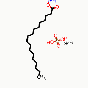 CCCCCCCC/C=C\CCCCCCCC(=O)ON.O=S(=O)(O)O.[NaH]